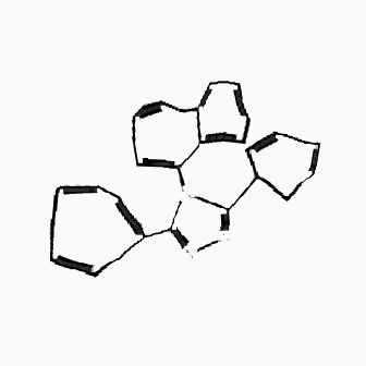 C1=CCC(c2nnc(/C3=C/C=C\C/C=C\C3)n2-c2cccc3ccccc23)C=C1